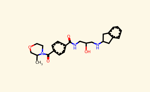 CC1COCCN1C(=O)c1ccc(C(=O)NCC(O)CNC2Cc3ccccc3C2)cc1